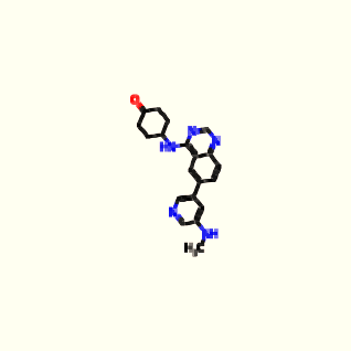 CNc1cncc(-c2ccc3ncnc(NC4CCC(=O)CC4)c3c2)c1